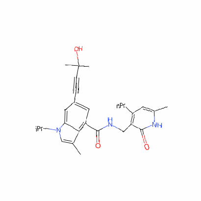 CCCc1cc(C)[nH]c(=O)c1CNC(=O)c1cc(C#CC(C)(C)O)cc2c1c(C)cn2C(C)C